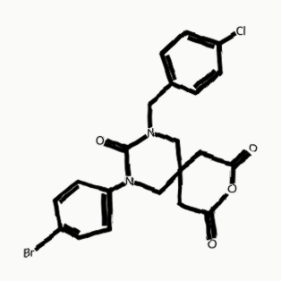 O=C1CC2(CC(=O)O1)CN(Cc1ccc(Cl)cc1)C(=O)N(c1ccc(Br)cc1)C2